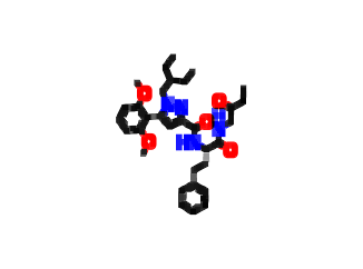 CCC(=O)CNC(=O)[C@H](CCc1ccccc1)NC(=O)c1cc(-c2c(OC)cccc2OC)n(CC(CC)CC)n1